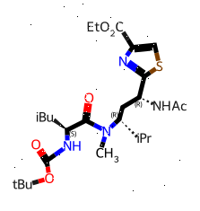 CCOC(=O)c1csc([C@@H](C[C@H](C(C)C)N(C)C(=O)[C@@H](NC(=O)OC(C)(C)C)C(C)CC)NC(C)=O)n1